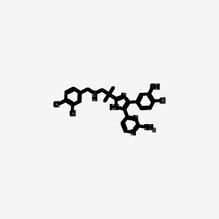 CC(C)(CNCc1ccc(Cl)c(Cl)c1)c1nc(-c2ccc(Cl)c(O)c2)c(-c2ccnc(N)n2)[nH]1